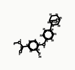 COC(=O)c1ccc(Oc2ccc(C3CC4CCC3CC4)cc2)c(F)c1